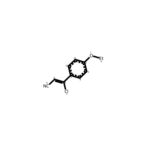 CCOc1ccc(C(Cl)=CC#N)cc1